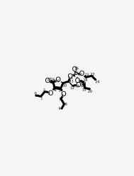 CCCOC1=C(OCCC)[C@@H]([C@H](CO)OP(=O)(OCCC)OCCC)OC1=O